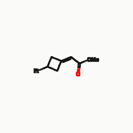 CCC1CC(=CC(=O)OC)C1